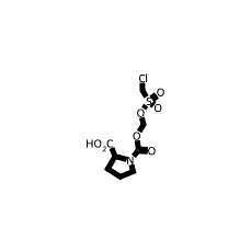 O=C(O)C1CCCN1C(=O)OCOS(=O)(=O)CCl